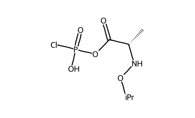 CC(C)ON[C@@H](C)C(=O)OP(=O)(O)Cl